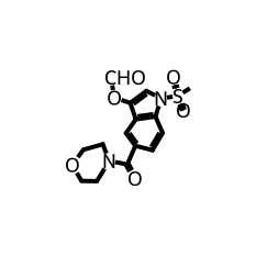 CS(=O)(=O)n1cc(OC=O)c2cc(C(=O)N3CCOCC3)ccc21